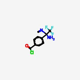 C=NC(N)(c1ccc(C(=O)Cl)cc1)C(F)(F)F